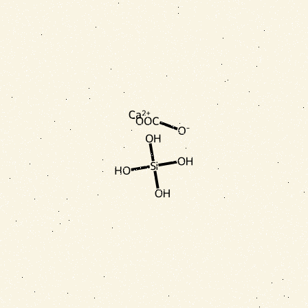 O=C([O-])[O-].O[Si](O)(O)O.[Ca+2]